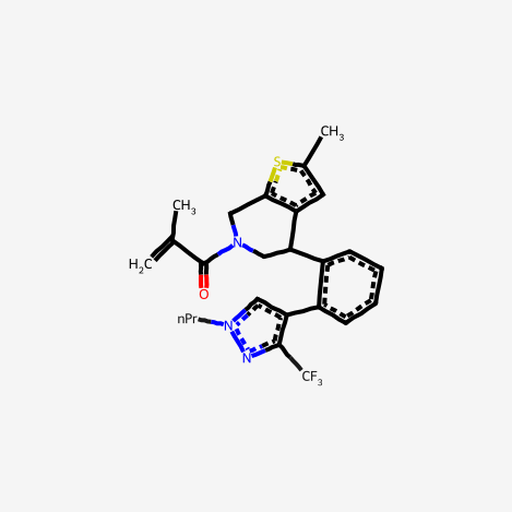 C=C(C)C(=O)N1Cc2sc(C)cc2C(c2ccccc2-c2cn(CCC)nc2C(F)(F)F)C1